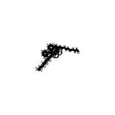 CCCCCCCCC=CC(=Cc1ccccc1)C(=O)OC(=O)C(C=CCCCCCCCC)=Cc1ccccc1